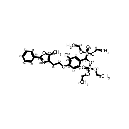 CCOP(=O)(OCC)OC(c1ccc(OCCc2nc(-c3ccccc3)oc2C)c(F)c1)P(=O)(OCC)OCC